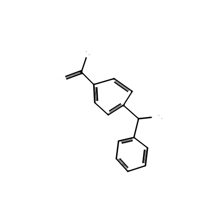 N#CC(c1ccccc1)c1ccc(C(N)=O)cc1